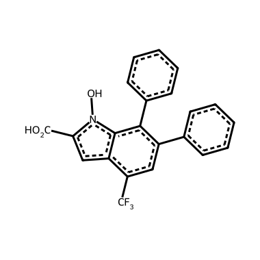 O=C(O)c1cc2c(C(F)(F)F)cc(-c3ccccc3)c(-c3ccccc3)c2n1O